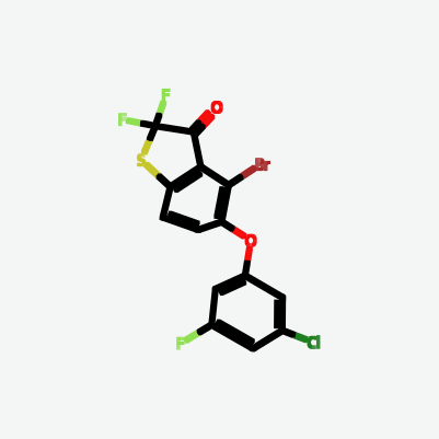 O=C1c2c(ccc(Oc3cc(F)cc(Cl)c3)c2Br)SC1(F)F